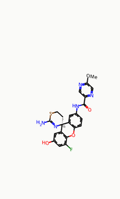 COc1cnc(C(=O)Nc2ccc3c(c2)[C@@]2(CCSC(N)=N2)c2cc(O)cc(F)c2O3)cn1